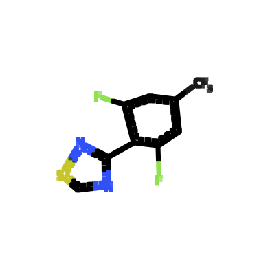 Fc1cc(C(F)(F)F)cc(F)c1-c1ncsn1